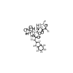 CCCC(NC(=O)[C@@H]1[C@@H]2[C@H](CN1C(=O)[C@@H](C)C1Cc3ccccc3C1)C2(Cl)Cl)C(=O)C(C)=O